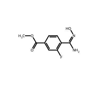 COC(=O)c1ccc(/C(N)=N\O)c(F)c1